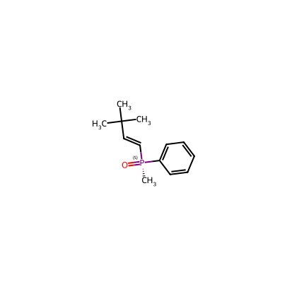 CC(C)(C)C=C[P@](C)(=O)c1ccccc1